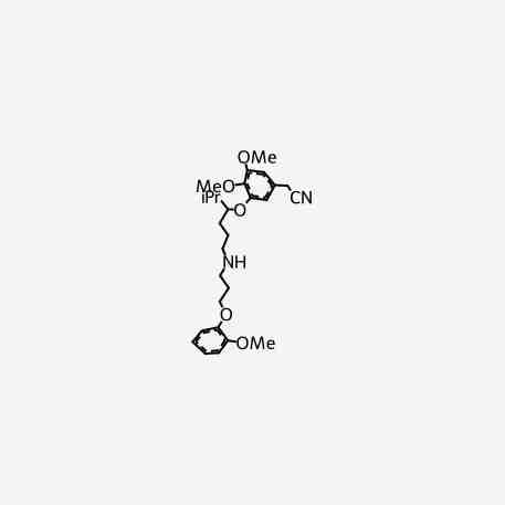 COc1ccccc1OCCCNCCCC(Oc1cc(CC#N)cc(OC)c1OC)C(C)C